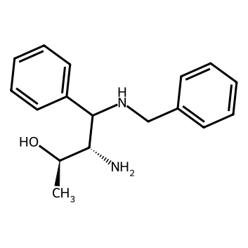 C[C@@H](O)[C@@H](N)C(NCc1ccccc1)c1ccccc1